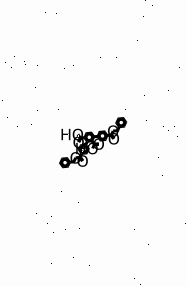 O=C(OCc1ccccc1)c1ccc(-c2ccc(C(=O)O)c(-c3ccc(C(=O)OCc4ccccc4)cc3)c2C(=O)O)cc1